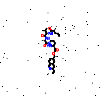 C=CC[C@@H](C)C(=O)N[C@H](C(=O)N[C@@H](C)C(=O)N1CCC[C@@H](C2OC2O[C@H](C)c2ccc3cnc(C=C)cc3c2)N1)C(C)C